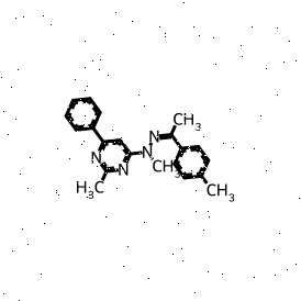 CC(=NN(C)c1cc(-c2ccccc2)nc(C)n1)c1ccc(C)cc1